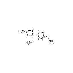 Cc1ccc(-c2ccc(CN)cc2)c(CN)c1